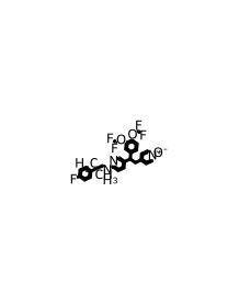 CC(C)(CNc1ccc(C(Cc2cc[n+]([O-])cc2)c2ccc(OC(F)F)c(OC(F)F)c2)cn1)c1ccc(F)cc1